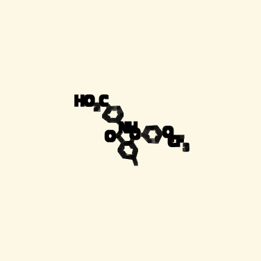 Cc1ccc(C(=O)Nc2ccc(C(=O)O)cc2)c(Oc2ccc(OC(F)(F)F)cc2)c1